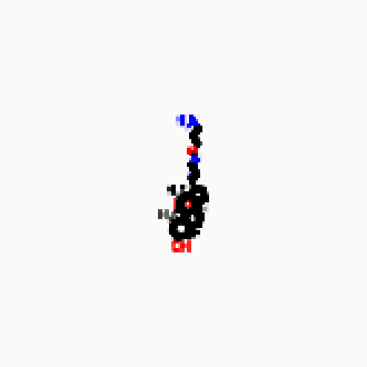 C[C@]12CC[C@H](O)C[C@H]1CC[C@@H]1[C@@H]2CC[C@]2(C)[C@@H](/C=C/C=N/OCCCN)CC[C@]12O